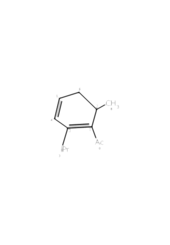 CC(=O)C1=C(C(C)C)C=CCC1C